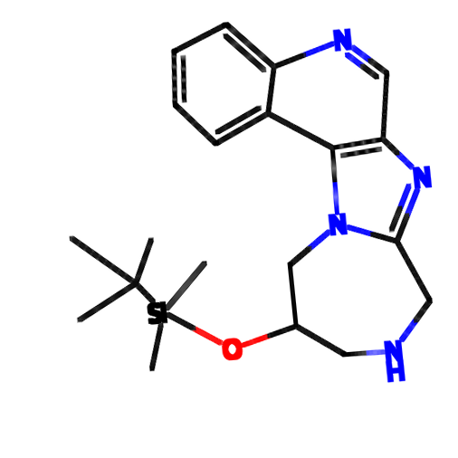 CC(C)(C)[Si](C)(C)OC1CNCc2nc3cnc4ccccc4c3n2C1